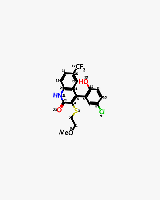 COCCSc1c(-c2cc(Cl)ccc2O)c2cc(C(F)(F)F)ccc2[nH]c1=O